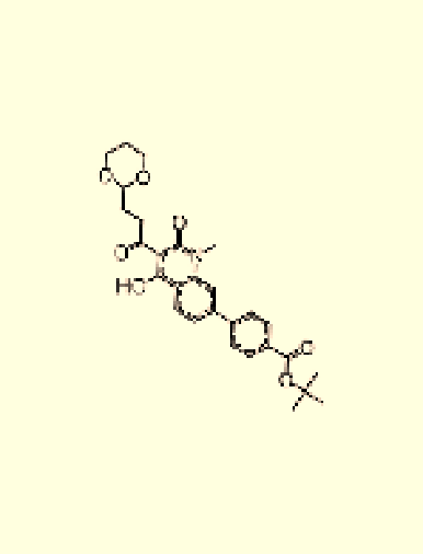 Cn1c(=O)c(C(=O)CCC2OCCCO2)c(O)c2ccc(-c3ccc(C(=O)OC(C)(C)C)cc3)cc21